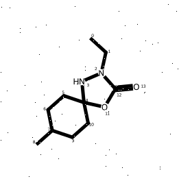 CCN1NC2(CCC(C)CC2)OC1=O